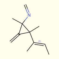 C=NC1(C)C(=C)C1(C)/C(C)=C/C